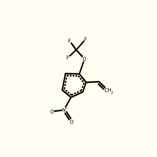 C=Cc1cc([N+](=O)[O-])ccc1OC(F)(F)F